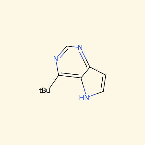 CC(C)(C)c1ncnc2cc[nH]c12